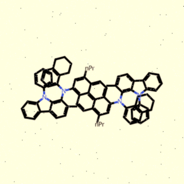 CCCc1cc(N(c2cccc3c2CCCC3)c2c(C)ccc3c4ccccc4n(-c4ccccc4)c23)c2ccc3c(CCC)cc(N(c4cccc5c4CCCC5)c4c(C)ccc5c6ccccc6n(-c6ccccc6)c45)c4ccc1c2c34